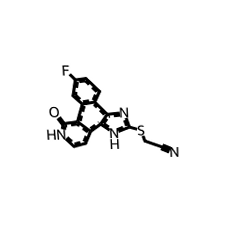 N#CCSc1nc2c3ccc(F)cc3c3c(=O)[nH]ccc3c2[nH]1